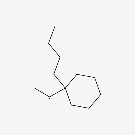 C[CH]C1(CCCC)CCCCC1